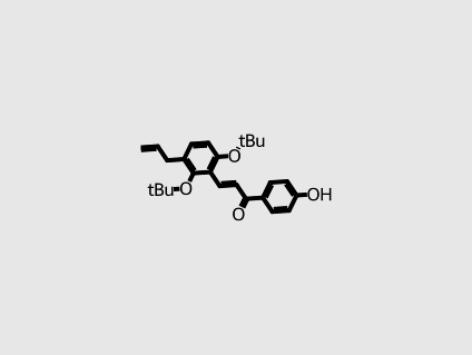 C=CCc1ccc(OC(C)(C)C)c(/C=C/C(=O)c2ccc(O)cc2)c1OC(C)(C)C